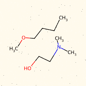 CCCCOC.CN(C)CCO